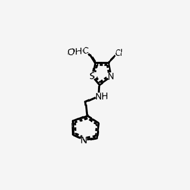 O=Cc1sc(NCc2ccncc2)nc1Cl